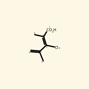 C=C(C)/C(Cl)=C(\C)C(=O)O